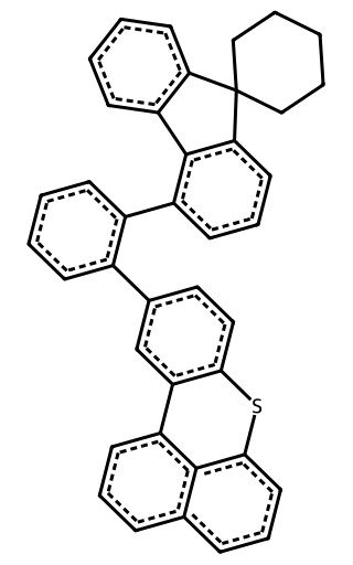 c1ccc(-c2cccc3c2-c2ccccc2C32CCCCC2)c(-c2ccc3c(c2)-c2cccc4cccc(c24)S3)c1